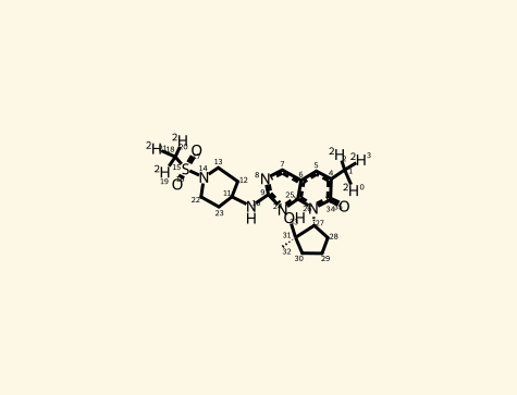 [2H]C([2H])([2H])c1cc2cnc(NC3CCN(S(=O)(=O)C([2H])([2H])[2H])CC3)nc2n([C@@H]2CCC[C@@]2(C)O)c1=O